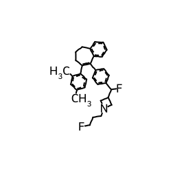 Cc1ccc(C2=C(c3ccc(C(F)C4CN(CCCF)C4)cc3)c3ccccc3CCC2)c(C)c1